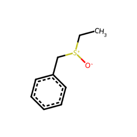 CC[S+]([O-])Cc1ccccc1